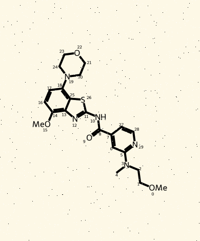 COCCN(C)c1cc(C(=O)Nc2nc3c(OC)ccc(N4CCOCC4)c3s2)ccn1